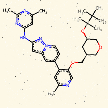 Cc1cc(-c2ccn3nc(Nc4cc(C)nc(C)n4)cc3c2)c(OC[C@@H]2COC[C@H](O[Si](C)(C)C(C)(C)C)C2)cn1